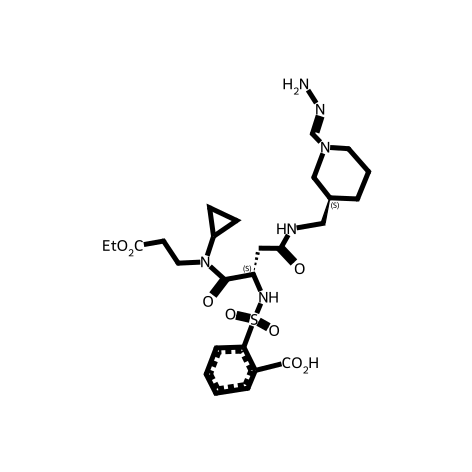 CCOC(=O)CCN(C(=O)[C@H](CC(=O)NC[C@@H]1CCCN(C=NN)C1)NS(=O)(=O)c1ccccc1C(=O)O)C1CC1